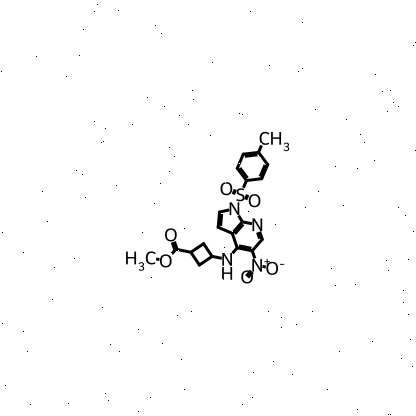 COC(=O)C1CC(Nc2c([N+](=O)[O-])cnc3c2ccn3S(=O)(=O)c2ccc(C)cc2)C1